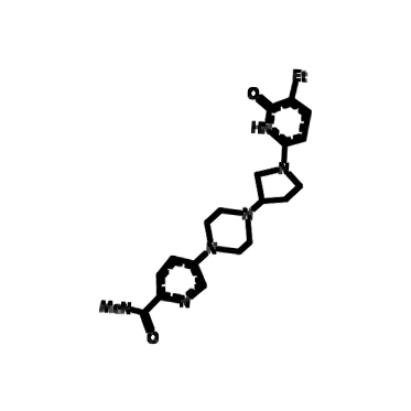 CCc1ccc(N2CCC(N3CCN(c4ccc(C(=O)NC)nc4)CC3)C2)[nH]c1=O